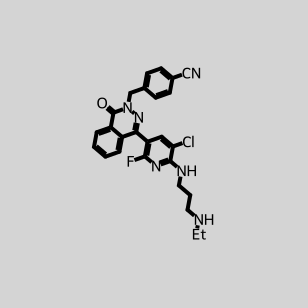 CCNCCCNc1nc(F)c(-c2nn(Cc3ccc(C#N)cc3)c(=O)c3ccccc23)cc1Cl